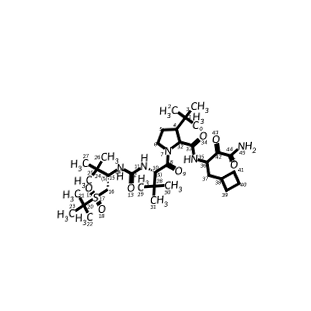 CC(C)(C)C1CCN(C(=O)[C@@H](NC(=O)N[C@H](CS(=O)(=O)C(C)(C)C)C(C)(C)C)C(C)(C)C)C1C(=O)NC(CC1CCC1)C(=O)C(N)=O